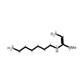 CNC(=C[N+](=O)[O-])NCCCCCCN